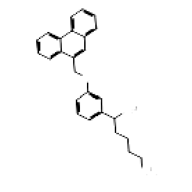 CCCCCC(O)c1cccc(OCc2cc3ccccc3c3ccccc23)c1